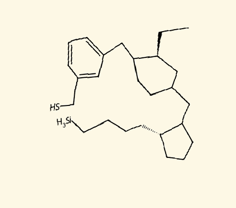 CC[C@H]1CC(CC2CCC[C@@H]2CCCC[SiH3])CCC1Cc1cccc(CS)c1